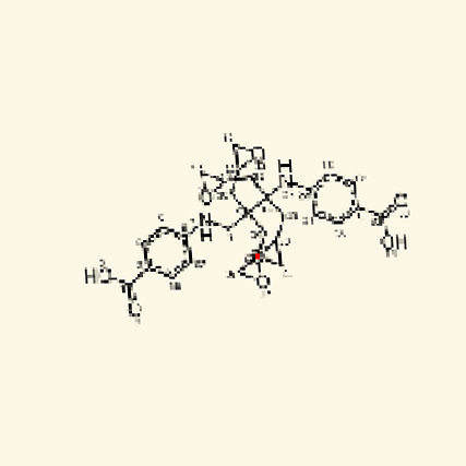 O=C(O)c1ccc(NCC(CC2CO2)(CC2CO2)C(CC2CO2)(CC2CO2)Nc2ccc(C(=O)O)cc2)cc1